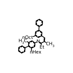 CCCCCCCCc1cc(C=C(C)C(CC)=Nc2cc(C)c(-c3ccccc3)c(CCCCCC)c2)cc(-c2ccccc2)c1